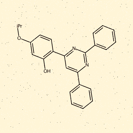 CC(C)Oc1ccc(-c2cc(-c3ccccc3)nc(-c3ccccc3)n2)c(O)c1